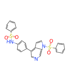 O=S(=O)(Nc1ccc(-c2cncc3c2ccn3S(=O)(=O)c2ccccc2)cc1)c1ccccc1